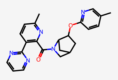 Cc1ccc(OC2CC3CC2N(C(=O)c2nc(C)ccc2-c2ncccn2)C3)nc1